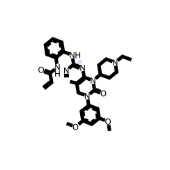 C=CC(=O)Nc1ccccc1N/C(N=C)=N/C1=C(C)CN(c2cc(OC)cc(OC)c2)C(=O)N1C1CCN(CC)CC1